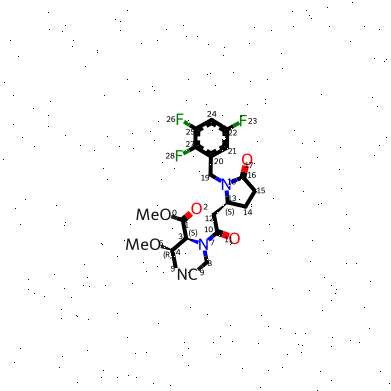 COC(=O)[C@H]([C@@H](C)OC)N(CC#N)C(=O)C[C@@H]1CCC(=O)N1Cc1cc(F)cc(F)c1F